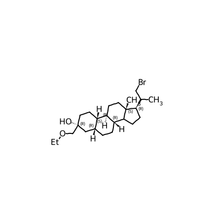 CCOC[C@@]1(O)CC[C@H]2[C@H](CC[C@H]3C4CC[C@H](C(C)CBr)[C@@]4(C)CC[C@H]23)C1